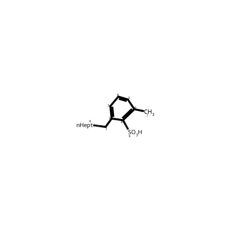 CCCCCCCCc1cccc(C)c1S(=O)(=O)O